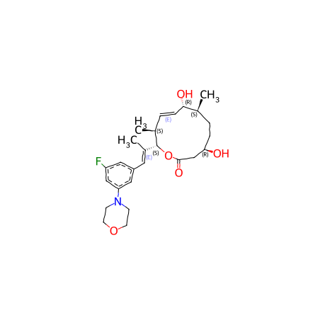 C/C(=C\c1cc(F)cc(N2CCOCC2)c1)[C@H]1OC(=O)C[C@H](O)CC[C@H](C)[C@@H](O)/C=C/[C@@H]1C